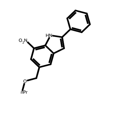 CCCOCc1cc([N+](=O)[O-])c2[nH]c(-c3ccccc3)cc2c1